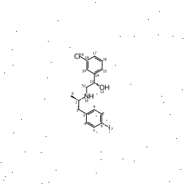 C[C@H](Cc1ccc(I)cc1)NC[C@H](O)c1cccc(Cl)c1